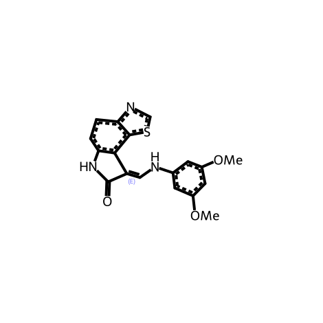 COc1cc(N/C=C2/C(=O)Nc3ccc4ncsc4c32)cc(OC)c1